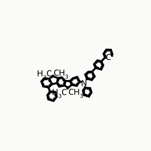 CC1(C)c2cc(N(c3ccccc3)c3ccc(-c4ccc(-c5ccccc5)cc4)cc3)ccc2-c2cc3c(cc21)-c1c(-c2ccccc2)cccc1C3(C)C